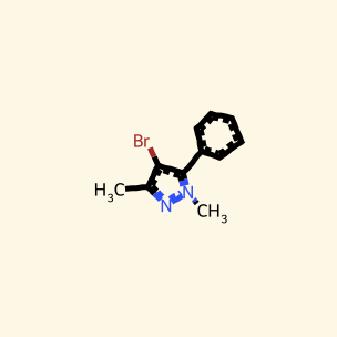 Cc1nn(C)c(-c2ccccc2)c1Br